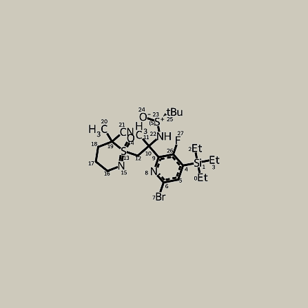 CC[Si](CC)(CC)c1cc(Br)nc(C(C)(CS2(=O)=NCCCC2(C)C#N)N[S@+]([O-])C(C)(C)C)c1F